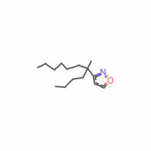 CCCCCCC(C)(CCCC)c1ccon1